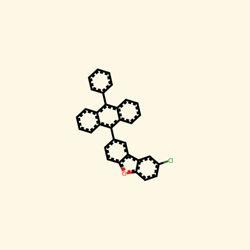 Clc1ccc2oc3ccc(-c4c5ccccc5c(-c5ccccc5)c5ccccc45)cc3c2c1